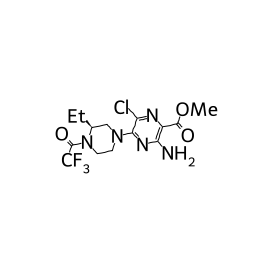 CC[C@H]1CN(c2nc(N)c(C(=O)OC)nc2Cl)CCN1C(=O)C(F)(F)F